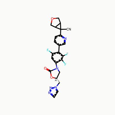 N#CC1(c2ccc(-c3c(F)cc(N4C[C@H](Cn5ccnn5)OC4=O)c(F)c3F)cn2)C2COCC21